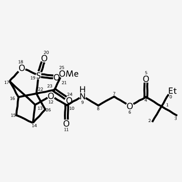 CCC(C)(C)C(=O)OCCNC(=O)OC1C2CC3C1OS(=O)(=O)C3(C(=O)OC)C2